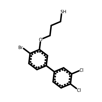 SCCCOc1cc(-c2ccc(Cl)c(Cl)c2)ccc1Br